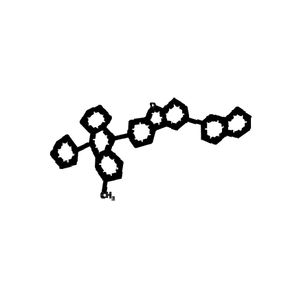 Cc1ccc2c(-c3ccc4c(c3)oc3ccc(-c5ccc6ccccc6c5)cc34)c3ccccc3c(-c3ccccc3)c2c1